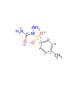 Cc1ccc(S(=O)(=O)N(N)C(N)=O)cc1